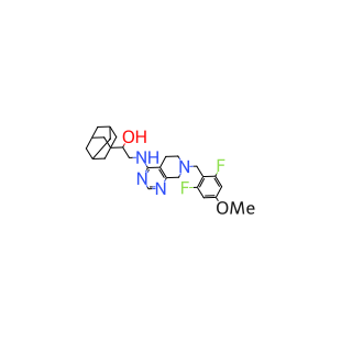 COc1cc(F)c(CN2CCc3c(ncnc3NCC(O)C34CC5CC(CC(C5)C3)C4)C2)c(F)c1